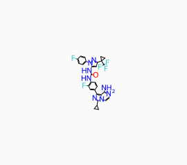 Nc1nccn2c(C3CC3)nc(-c3ccc(NC(=O)Nc4cc(C5(C(F)(F)F)CC5)nn4-c4ccc(F)cc4)c(F)c3)c12